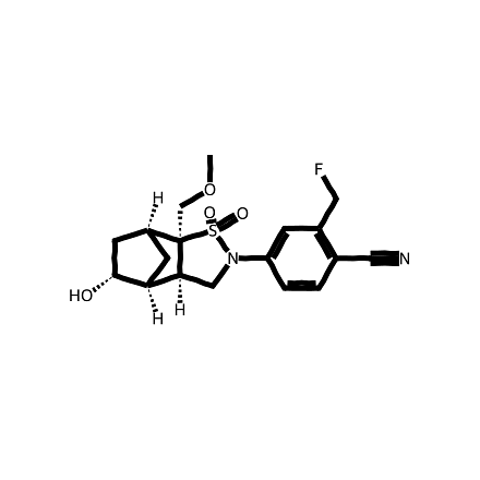 COC[C@@]12[C@H]3C[C@H]([C@H](O)C3)[C@@H]1CN(c1ccc(C#N)c(CF)c1)S2(=O)=O